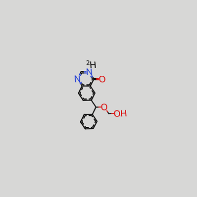 [2H]n1cnc2ccc(C(OCO)c3ccccc3)cc2c1=O